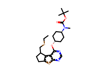 CCSCC1CCc2sc3ncnc(O[C@H]4CC[C@H](N(C)C(=O)OC(C)(C)C)CC4)c3c21